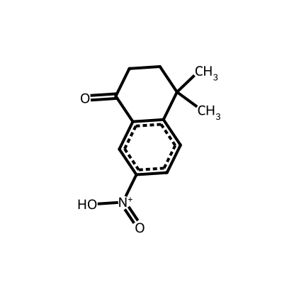 CC1(C)CCC(=O)c2cc([N+](=O)O)ccc21